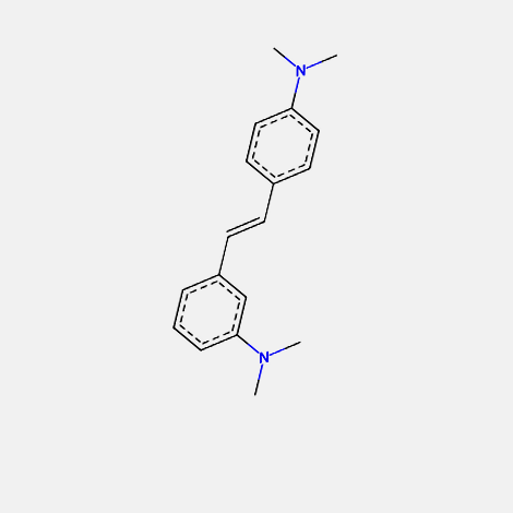 CN(C)c1ccc(/C=C/c2cccc(N(C)C)c2)cc1